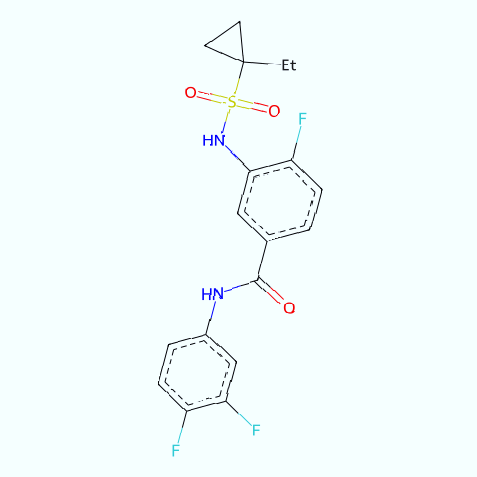 CCC1(S(=O)(=O)Nc2cc(C(=O)Nc3ccc(F)c(F)c3)ccc2F)CC1